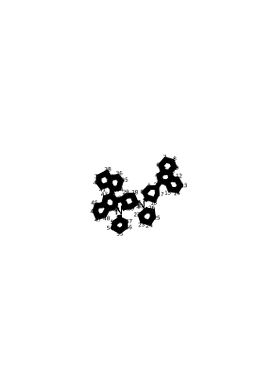 C1=CC(c2cc3ccccc3c3ccccc23)CC=C1N(c1ccccc1)c1ccc2c3c(-c4cccc5ccccc45)cc4ccccc4c3n(-c3ccccc3)c2c1